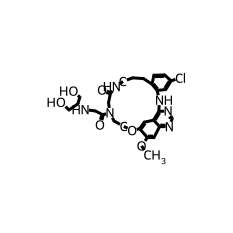 COc1cc2ncnc3c2cc1OCCN(C(=O)CNC(CO)CO)CC(=O)NCCCc1ccc(Cl)cc1N3